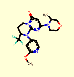 COc1cc(N2c3nc(N4CCOCC4C)cc(=O)n3CCC2C(F)(F)F)ccn1